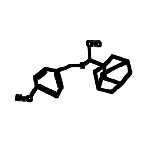 COc1ccc(CSC(C=O)C23CC4CC(CC(C4)C2)C3)cc1